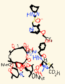 CC1(C)S[C@@H]2[C@H](NC(=O)[C@H](N)c3ccc(O)cc3)C(=O)N2[C@H]1C(=O)O.CC[C@H]1OC(=O)[C@H](C)[C@@H](O[C@H]2C[C@@](C)(OC)[C@@H](O)[C@H](C)O2)C(C)[C@@H](O[C@@H]2O[C@H](C)C[C@H](N(C)C)[C@H]2O)[C@](C)(OC)C[C@@H](C)C(=O)[C@H](C)[C@@H](O)[C@]1(C)O.Cc1c(OCC(F)(F)F)ccnc1C[S+]([O-])c1nc2ccccc2[nH]1